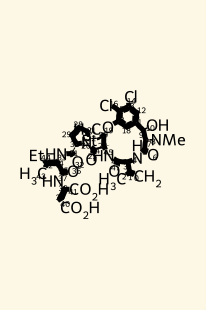 C=C(C)C1NC(=O)[C@@H](NC)[C@@H](O)c2cc(Cl)c(Cl)c(c2)O[C@](C)(CC)[C@H](C(=O)N2CC=C[C@H]2C(=O)N/C(C(=O)N/C(=C/C(=O)O)C(=O)O)=C(/C)CC)NC1=O